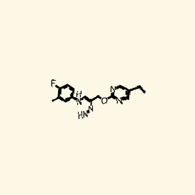 CCc1cnc(OC/C(=C/Nc2ccc(F)c(C)c2)N=N)nc1